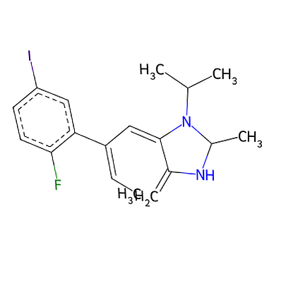 C=C1NC(C)N(C(C)C)/C1=C/C(=C\C)c1cc(I)ccc1F